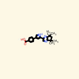 CC1(C)CC(C)(C)c2nc(-c3cc(-c4ccc(C(=O)O)cc4)c[nH]3)cnc21